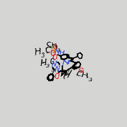 COc1ccc2c(c1)[C@@H]1CC1(C(=O)N1CCN(C)C[C@@H]1c1ccccc1)Cn1c-2c(C2CCCCC2)c2ccc(C(=O)NS(=O)(=O)C(C)C)cc21